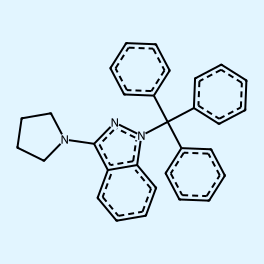 c1ccc(C(c2ccccc2)(c2ccccc2)n2nc(N3CCCC3)c3ccccc32)cc1